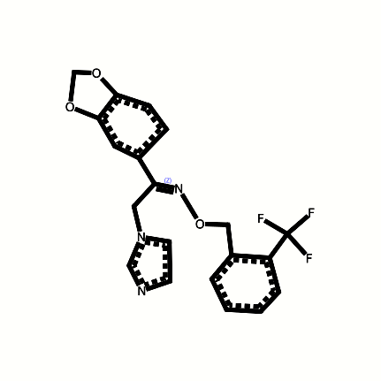 FC(F)(F)c1ccccc1CO/N=C(\Cn1ccnc1)c1ccc2c(c1)OCO2